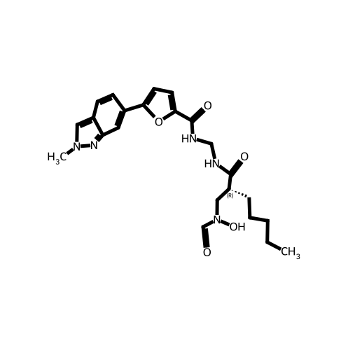 CCCCC[C@H](CN(O)C=O)C(=O)NCNC(=O)c1ccc(-c2ccc3cn(C)nc3c2)o1